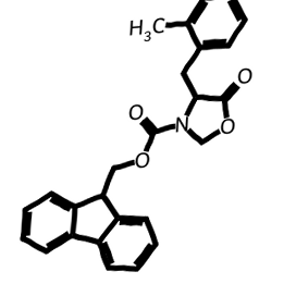 Cc1ccccc1CC1C(=O)OCN1C(=O)OCC1c2ccccc2-c2ccccc21